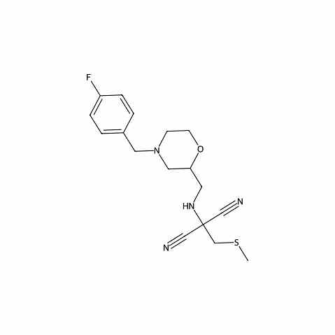 CSCC(C#N)(C#N)NCC1CN(Cc2ccc(F)cc2)CCO1